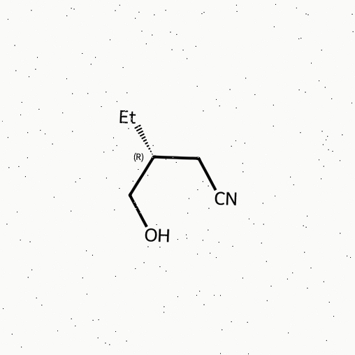 CC[C@@H](CO)CC#N